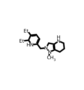 CCC1=CC=C(CN2CC3=C(CCCN3)N2C)NC1CC